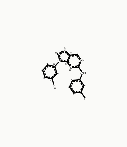 Cc1cccc(Nc2ncc3nnn(-c4cccc(F)c4)c3n2)c1